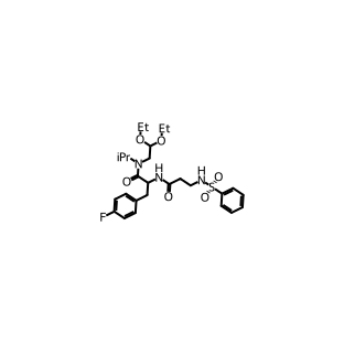 CCOC(CN(C(=O)C(Cc1ccc(F)cc1)NC(=O)CCNS(=O)(=O)c1ccccc1)C(C)C)OCC